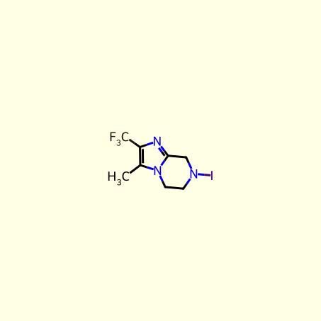 Cc1c(C(F)(F)F)nc2n1CCN(I)C2